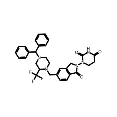 O=C1CCN(N2Cc3cc(CN4CCN(C(c5ccccc5)c5ccccc5)CC4C(F)(F)F)ccc3C2=O)C(=O)N1